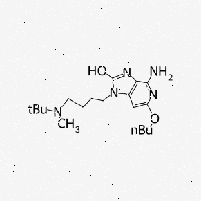 CCCCOc1cc2c(nc(O)n2CCCCN(C)C(C)(C)C)c(N)n1